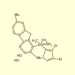 CCC1=CC[C]([Zr]([CH3])([CH3])(=[SiH2])[c]2c(C(C)(C)C)ccc3c2Cc2cc(C(C)(C)C)ccc2-3)=C1CC.Cl.Cl